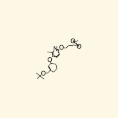 Cc1nc(OCCCS(C)(=O)=O)ccc1OC1C=C(COC(C)(C)C)CCC1